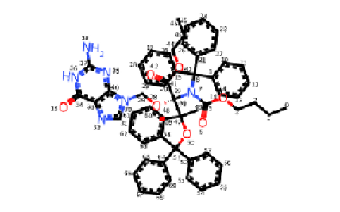 CCCCOC(=O)N(C(c1ccccc1)(c1ccccc1)c1ccccc1)[C@](OCn1cnc2c(=O)[nH]c(N)nc21)(C(=O)OCCC)C(C)(C)OC(c1ccccc1)(c1ccccc1)c1ccccc1